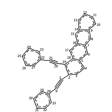 C(#Cc1ccc2cc3cc4ccc[c]c4cc3cc2c1C#Cc1ccccc1)c1ccccc1